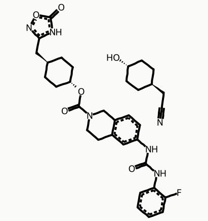 N#CC[C@H]1CC[C@H](O)CC1.O=C(Nc1ccc2c(c1)CCN(C(=O)O[C@H]1CC[C@H](Cc3noc(=O)[nH]3)CC1)C2)Nc1ccccc1F